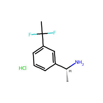 C[C@@H](N)c1cccc(C(C)(F)F)c1.Cl